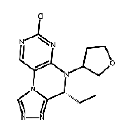 CC[C@@H]1c2nncn2-c2cnc(Cl)nc2N1C1CCOC1